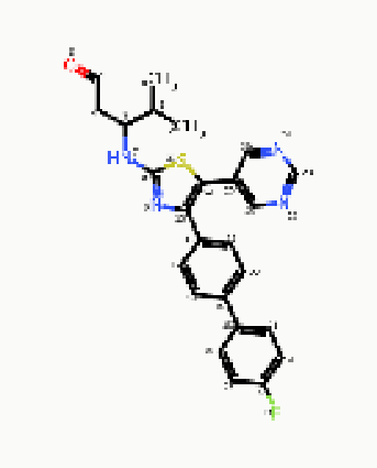 CC(C)C(CC=O)Nc1nc(-c2ccc(-c3ccc(F)cc3)cc2)c(-c2cncnc2)s1